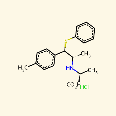 Cc1ccc([C@@H](Sc2ccccc2)[C@H](C)N[C@@H](C)C(=O)O)cc1.Cl